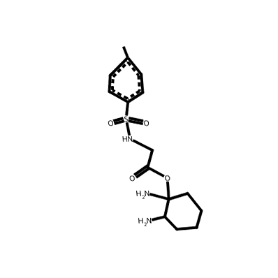 Cc1ccc(S(=O)(=O)NCC(=O)OC2(N)CCCCC2N)cc1